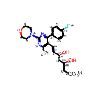 CC(C)c1nc(N2CCOCC2)nc(-c2ccc(F)cc2)c1/C=C/[C@@H](O)C[C@@H](O)CC(=O)O